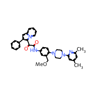 COCc1cc(NC(=O)C(=O)c2c(-c3ccccc3)cc3ccccn23)ccc1N1CCN(c2cc(C)cc(C)n2)CC1